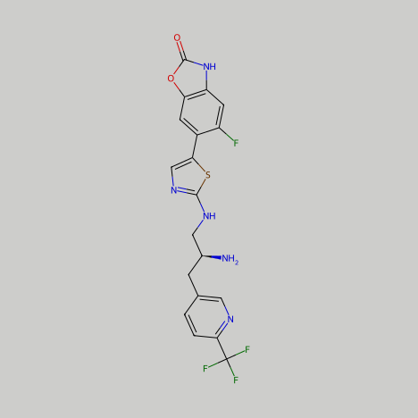 N[C@H](CNc1ncc(-c2cc3oc(=O)[nH]c3cc2F)s1)Cc1ccc(C(F)(F)F)nc1